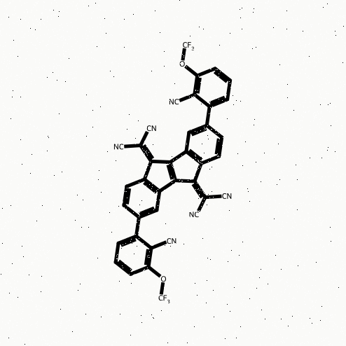 N#CC(C#N)=C1C2=C(C(=C(C#N)C#N)c3ccc(-c4cccc(OC(F)(F)F)c4C#N)cc32)c2cc(-c3cccc(OC(F)(F)F)c3C#N)ccc21